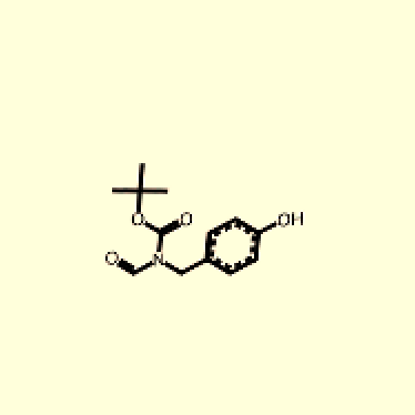 CC(C)(C)OC(=O)N(C=O)Cc1ccc(O)cc1